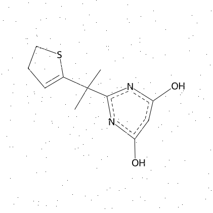 CC(C)(C1=CCCS1)c1nc(O)cc(O)n1